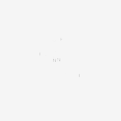 O[C@H]1c2c(C(F)(F)F)nn(CCc3cccc(F)c3)c2CC1(F)F